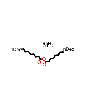 CCCCCCCCCCCCCCCCCC(=O)OC(=O)CCCCCCCCCCCCCCCCC.[PbH2].[Zn]